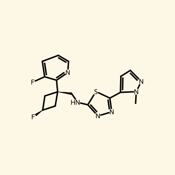 Cn1nccc1-c1nnc(NC[C@]2(c3ncccc3F)C[C@H](F)C2)s1